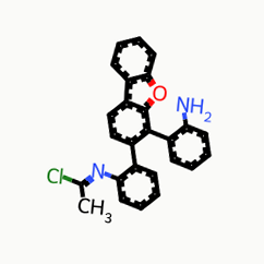 C/C(Cl)=N\c1ccccc1-c1ccc2c(oc3ccccc32)c1-c1ccccc1N